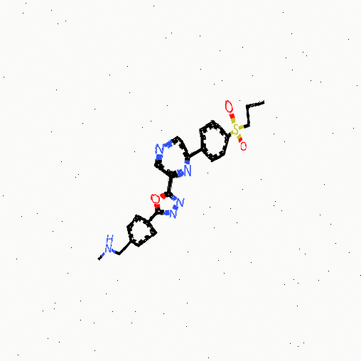 CCCS(=O)(=O)c1ccc(-c2cncc(-c3nnc(-c4ccc(CNC)cc4)o3)n2)cc1